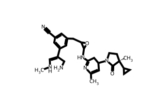 CN/C=C(\CN)c1cc(C#N)cc(CC2OC2NC2=NC(C)=CC(N3CC[C@@](C)(C4CC4)C3=O)C2)c1